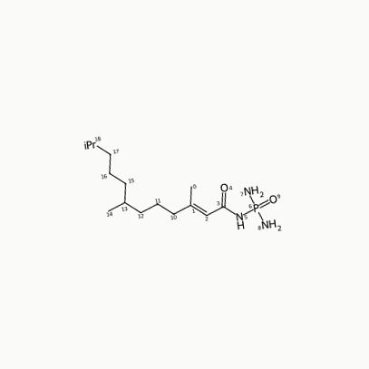 C/C(=C\C(=O)NP(N)(N)=O)CCCC(C)CCCC(C)C